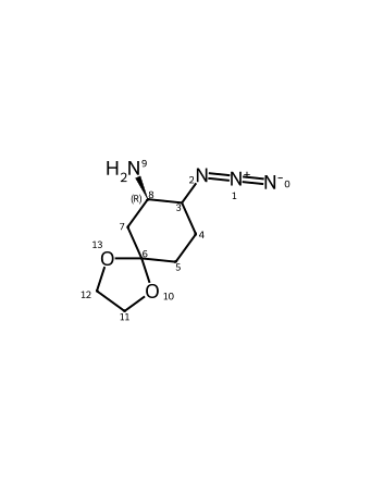 [N-]=[N+]=NC1CCC2(C[C@H]1N)OCCO2